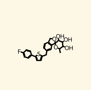 CC1OC2(OCc3ccc(Cc4ccc(-c5ccc(F)cc5)s4)cc32)C(O)C(O)C1O